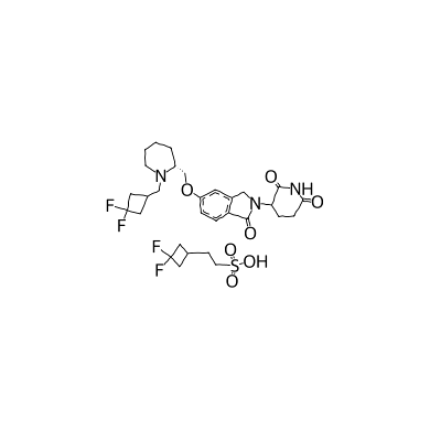 O=C1CCC(N2Cc3cc(OC[C@H]4CCCCN4CC4CC(F)(F)C4)ccc3C2=O)C(=O)N1.O=S(=O)(O)CCC1CC(F)(F)C1